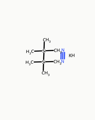 C[Si](C)(C)[Si](C)(C)C.N#N.[KH]